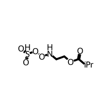 CC(C)C(=O)OCCNOO[SH](=O)=O